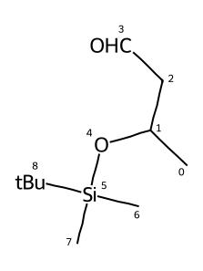 CC(CC=O)O[Si](C)(C)C(C)(C)C